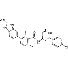 Cc1ccc(C2=CC3=NC(N)NN3C=C2)c(F)c1C(=O)NC(CF)CC(O)c1ccc(Cl)cc1